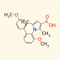 COc1ccc(-c2cccc(OC)c2-n2c(C)cc(C(=O)O)c2C)cc1